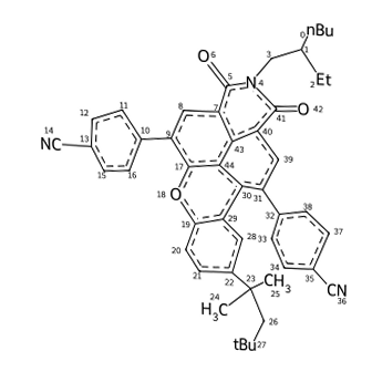 CCCCC(CC)Cn1c(=O)c2cc(-c3ccc(C#N)cc3)c3oc4ccc(C(C)(C)CC(C)(C)C)cc4c4c(-c5ccc(C#N)cc5)cc(c1=O)c2c34